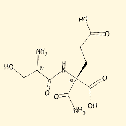 NC(=O)[C@](CCC(=O)O)(NC(=O)[C@@H](N)CO)C(=O)O